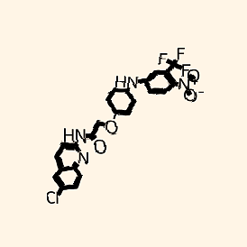 O=C(CO[C@H]1CC[C@H](Nc2ccc([N+](=O)[O-])c(C(F)(F)F)c2)CC1)Nc1ccc2cc(Cl)ccc2n1